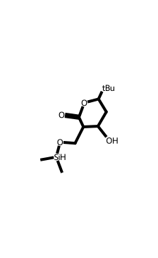 C[SiH](C)OCC1C(=O)OC(C(C)(C)C)CC1O